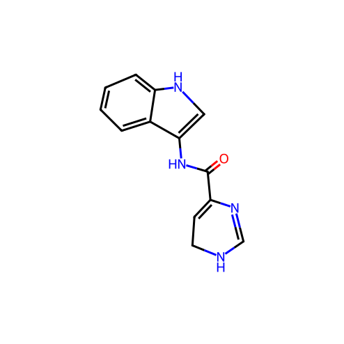 O=C(Nc1c[nH]c2ccccc12)C1=CCNC=N1